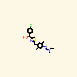 CCN(C)C=Nc1cc(C)c(Cc2nc(C(O)c3ccc(Cl)cc3)cs2)cc1C